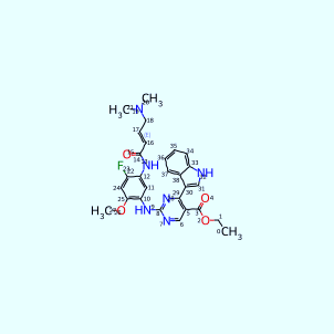 CCOC(=O)c1cnc(Nc2cc(NC(=O)/C=C/CN(C)C)c(F)cc2OC)nc1-c1c[nH]c2ccccc12